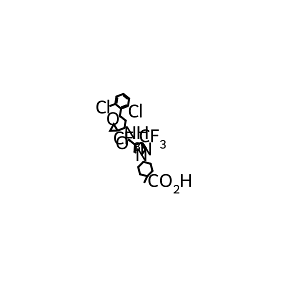 C[C@]1(C(=O)O)CC[C@H](n2cc(C(=O)NC(CC(=O)c3c(Cl)cccc3Cl)C3(C(F)(F)F)CC3)c(C(F)(F)F)n2)CC1